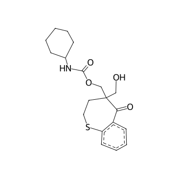 O=C(NC1CCCCC1)OCC1(CO)CCSc2ccccc2C1=O